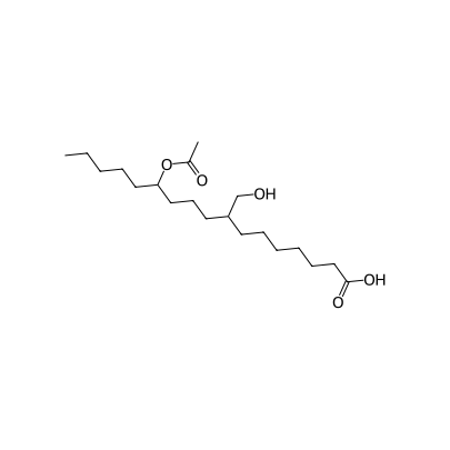 CCCCCC(CCCC(CO)CCCCCCC(=O)O)OC(C)=O